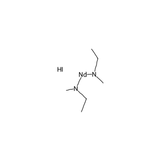 CC[N](C)[Nd][N](C)CC.I